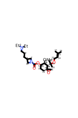 CCN(CC)CCCC1CN(C(=O)O[C@@H]2CC[C@]3(CO3)[C@@H](C(C)(C)OCC=C(C)C)[C@@H]2OC)C1